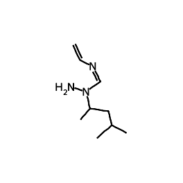 C=C/N=C\N(N)C(C)CC(C)C